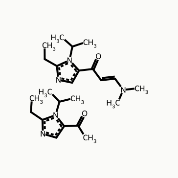 CCc1ncc(C(=O)C=CN(C)C)n1C(C)C.CCc1ncc(C(C)=O)n1C(C)C